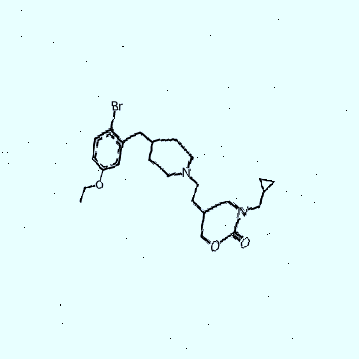 CCOc1ccc(Br)c(CC2CCN(CCC3COC(=O)N(CC4CC4)C3)CC2)c1